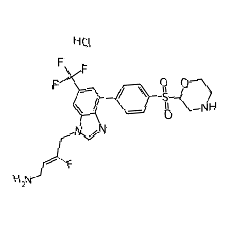 Cl.NC/C=C(\F)Cn1cnc2c(-c3ccc(S(=O)(=O)C4CNCCO4)cc3)cc(C(F)(F)F)cc21